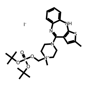 Cc1cc2c(s1)Nc1ccccc1N=C2N1CC[N+](C)(COP(=O)(OC(C)(C)C)OC(C)(C)C)CC1.[I-]